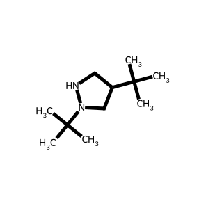 CC(C)(C)C1CNN(C(C)(C)C)C1